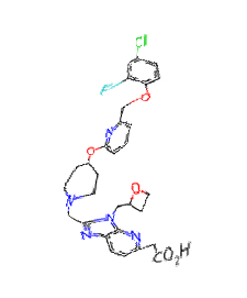 O=C(O)Cc1ccc2nc(CN3CCC(Oc4cccc(COc5ccc(Cl)cc5F)n4)CC3)n(C[C@@H]3CCO3)c2n1